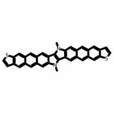 Cn1c2cc3cc4cc5ccsc5cc4cc3cc2c2c1c1cc3cc4cc5sccc5cc4cc3cc1n2C